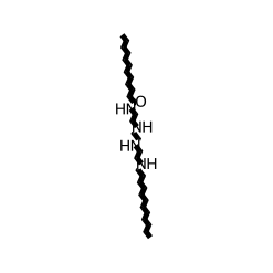 CCCCCCCCCCCCNCCNCCNCCNC(=O)CCCCCCCCCCC